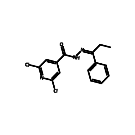 CCC(=NNC(=O)c1cc(Cl)nc(Cl)c1)c1ccccc1